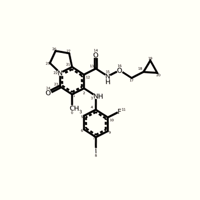 Cc1c(Nc2ccc(I)cc2F)c(C(=O)NOCC2CC2)c2n(c1=O)CCC2